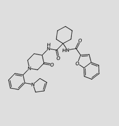 O=C(NC1(C(=O)NC2CCN(c3ccccc3N3CC=CC3)CC2=O)CCCCC1)c1cc2ccccc2o1